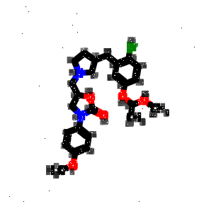 COc1ccc(N2CC(CN3CCC(Cc4cc(OC(C)OC)ccc4Br)C3)OC2=O)cc1